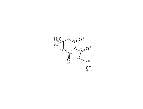 CC1(C)CC(=O)C(C(=O)CCC(F)(F)F)C(=O)C1